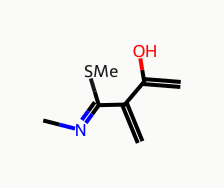 C=C(O)C(=C)/C(=N/C)SC